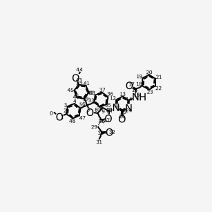 COc1ccc(C(OC2C[C@H](n3ccc(NC(=O)c4ccccc4)nc3=O)O[C@@H]2CC(C)=O)(c2ccccc2)c2ccc(OC)cc2)cc1